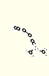 CC1C(=O)c2ccc(Oc3ccc(C(C)(C)c4ccc(Oc5ccc6c(c5)C(=O)N(c5nc(OC(=O)c7cc([N+](=O)[O-])cc([N+](=O)[O-])c7)nc(OC(=O)c7cc([N+](=O)[O-])cc([N+](=O)[O-])c7)n5)C6=O)cc4)cc3)cc2C1=O